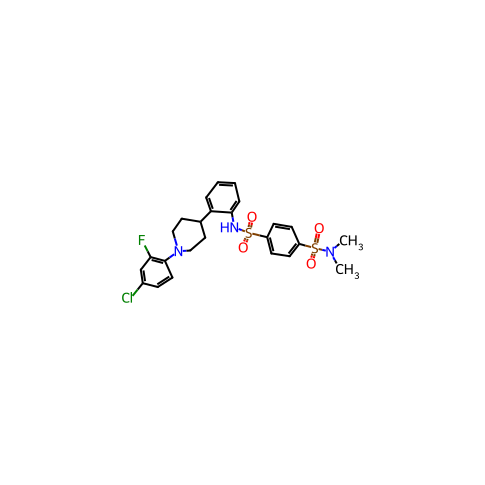 CN(C)S(=O)(=O)c1ccc(S(=O)(=O)Nc2ccccc2C2CCN(c3ccc(Cl)cc3F)CC2)cc1